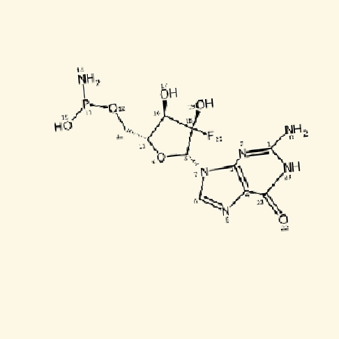 Nc1nc2c(ncn2[C@@H]2O[C@H](COP(N)O)[C@@H](O)[C@]2(O)F)c(=O)[nH]1